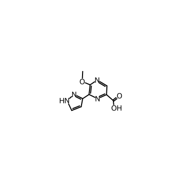 COc1ncc(C(=O)O)nc1-c1cc[nH]n1